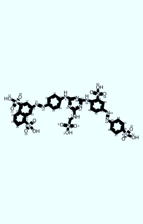 O=S(=O)(O)CNc1nc(Nc2ccc(N=Nc3cc(S(=O)(=O)O)c4cccc(S(=O)(=O)O)c4c3)cc2)nc(Nc2ccc(N=Nc3ccc(S(=O)(=O)O)cc3)cc2S(=O)(=O)O)n1